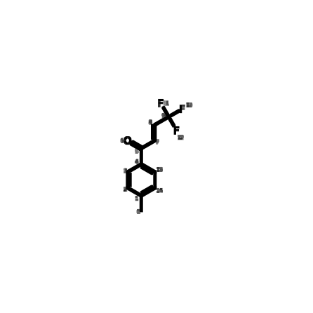 Cc1ccc(C(=O)/C=C/C(F)(F)F)cc1